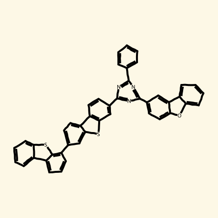 c1ccc(-c2nc(-c3ccc4c(c3)sc3cc(-c5cccc6c5sc5ccccc56)ccc34)nc(-c3ccc4oc5ccccc5c4c3)n2)cc1